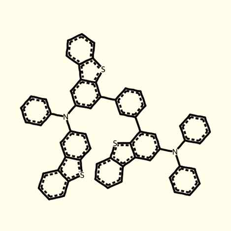 c1ccc(N(c2ccccc2)c2cc(-c3cccc(-c4cc(N(c5ccccc5)c5ccc6sc7ccccc7c6c5)cc5c4sc4ccccc45)c3)c3sc4ccccc4c3c2)cc1